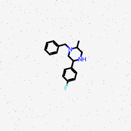 CC1CNC(c2ccc(F)cc2)CN1Cc1ccccc1